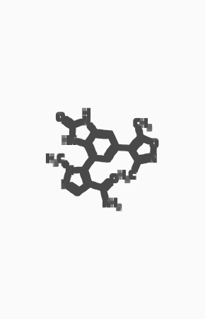 Cc1noc(C)c1-c1cc(-c2c(C(N)=O)cnn2C)c2[nH]c(=O)[nH]c2c1